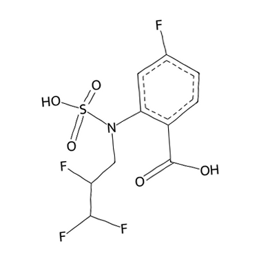 O=C(O)c1ccc(F)cc1N(CC(F)C(F)F)S(=O)(=O)O